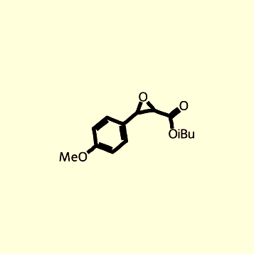 COc1ccc(C2OC2C(=O)OCC(C)C)cc1